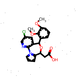 COc1cccc(C2OC(CC(=O)O)c3cccn3-c3ncc(Cl)cc32)c1OC